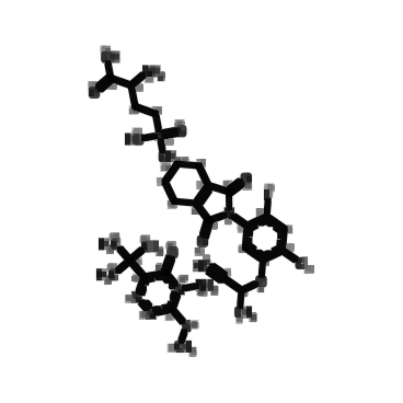 C#CC(C)Oc1cc(N2C(=O)C3=C(CCCC3)C2=O)c(F)cc1Cl.CP(=O)(O)CCC(N)C(=O)O.CSc1nnc(C(C)(C)C)c(=O)n1N